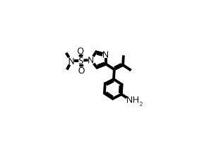 CC(C)=C(c1cccc(N)c1)c1cn(S(=O)(=O)N(C)C)cn1